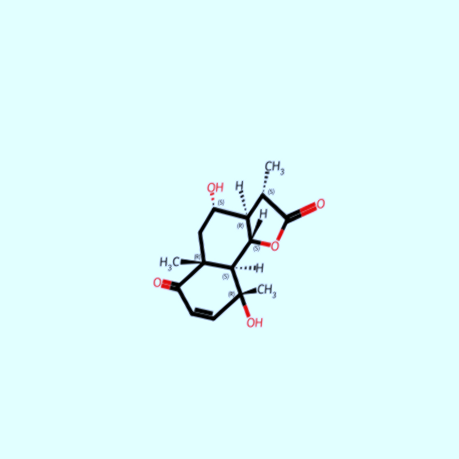 C[C@@H]1C(=O)O[C@H]2[C@H]1[C@@H](O)C[C@@]1(C)C(=O)C=C[C@@](C)(O)[C@H]21